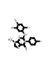 Cn1cnc2c(=O)n(-c3ccc(I)cc3)c(Oc3cc(F)c(F)cc3F)nc21